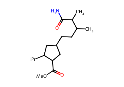 COC(=O)C1CC(CCC(C)C(C)C(N)=O)CC1C(C)C